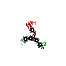 O=C(O)COc1ccc(OCC=C(c2ccc(-c3ccc(F)c(Cl)c3)cc2)c2ccc(-c3ccc(F)c(Cl)c3)cc2)cc1